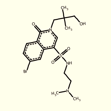 CN(C)CCNS(=O)(=O)c1cn(CC(C)(C)CO)c(=O)c2ccc(Br)cc12